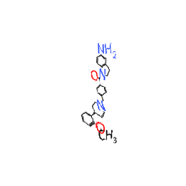 COc1ccccc1C1CCN(Cc2ccc(C(=O)N3CCc4cc(N)ccc43)cc2)CC1